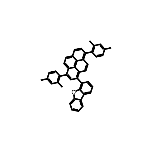 Cc1ccc(-c2ccc3ccc4c(-c5ccc(C)cc5C)cc(-c5cccc6c5oc5ccccc56)c5ccc2c3c45)c(C)c1